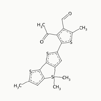 CC(=O)c1c(-c2cc3c(s2)-c2sc(C)cc2[Si]3(C)C)sc(C)c1C=O